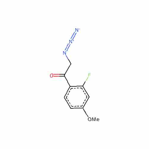 COc1ccc(C(=O)CN=[N+]=[N-])c(F)c1